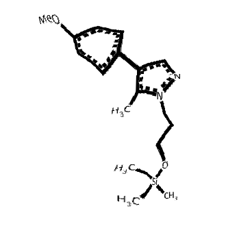 COc1ccc(-c2cnn(CCO[Si](C)(C)C)c2C)cc1